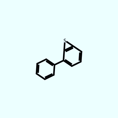 c1ccc(-c2cccc3c2S3)cc1